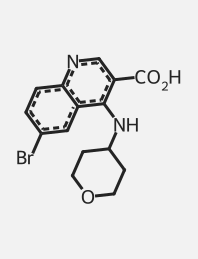 O=C(O)c1cnc2ccc(Br)cc2c1NC1CCOCC1